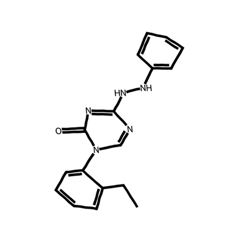 CCc1ccccc1-n1cnc(NNc2ccccc2)nc1=O